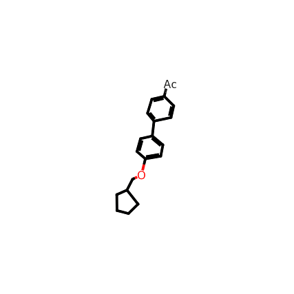 CC(=O)c1ccc(-c2ccc(OCC3CCCC3)cc2)cc1